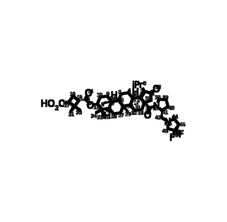 CC(C)C1=C2[C@H]3CC[C@@H]4[C@@]5(C)CC[C@H](OC(=O)[C@H]6C[C@@H](C(=O)O)C6(C)C)C(C)(C)[C@@H]5CC[C@@]4(C)[C@]3(C)CC[C@@]2(C(=O)N2CCC[C@H]2CN2CCC(F)(F)C2)CC1=O